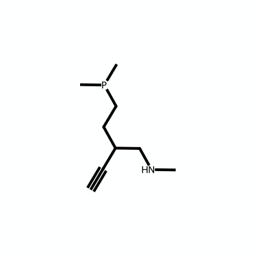 C#CC(CCP(C)C)CNC